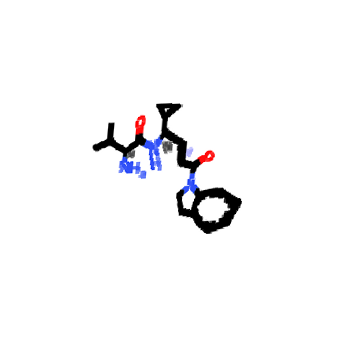 CC(C)[C@H](N)C(=O)N[C@H](/C=C/C(=O)N1CCc2ccccc21)C1CC1